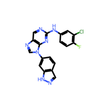 Fc1ccc(Nc2ncc3ncn(-c4ccc5cn[nH]c5c4)c3n2)cc1Cl